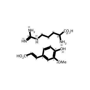 COc1cc(C=CC(=O)O)ccc1O.N=C(N)NCCCC(N)C(=O)O